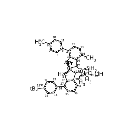 CC1=Cc2c(-c3ccc(C)cc3)ccc(C)c2[CH]1[Zr]([CH3])([CH3])(=[SiH2])[CH]1C(C(C)C)=Cc2c(-c3ccc(C(C)(C)C)cc3)cccc21.Cl.Cl